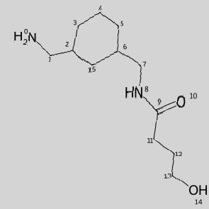 NCC1CCCC(CNC(=O)CCCO)C1